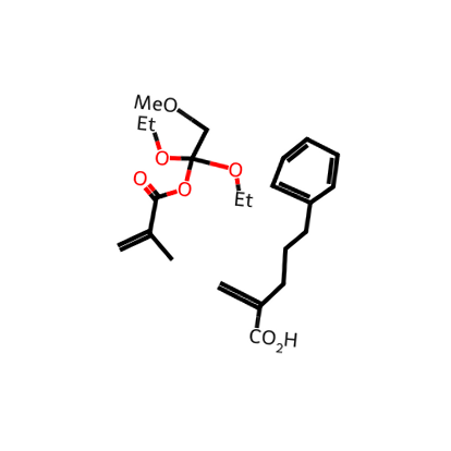 C=C(C)C(=O)OC(COC)(OCC)OCC.C=C(CCCc1ccccc1)C(=O)O